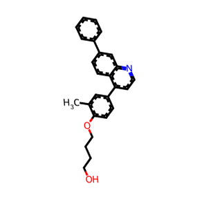 Cc1cc(-c2ccnc3cc(-c4ccccc4)ccc23)ccc1OCCCCO